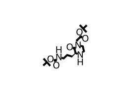 CC(C)(C)OC(=O)CN1CCN[C@@H](CCCNC(=O)OC(C)(C)C)C1=O